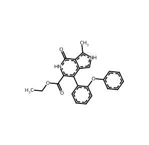 CCOC(=O)c1[nH]c(=O)c2c(C)[nH]cc2c1-c1ccccc1Oc1ccccc1